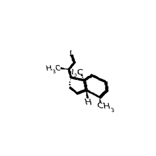 C[C@@H](CI)[C@H]1CC[C@H]2[C@@H](C)CCC[C@]12C